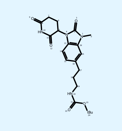 Cn1c(=O)n(C2CCC(=O)NC2=O)c2ccc(CCCNC(=O)OC(C)(C)C)cc21